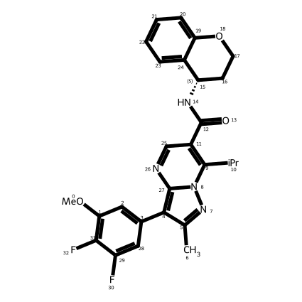 COc1cc(-c2c(C)nn3c(C(C)C)c(C(=O)N[C@H]4CCOc5ccccc54)cnc23)cc(F)c1F